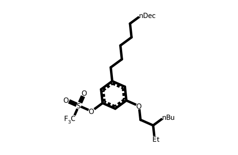 CCCCCCCCCCCCCCCc1cc(OCC(CC)CCCC)cc(OS(=O)(=O)C(F)(F)F)c1